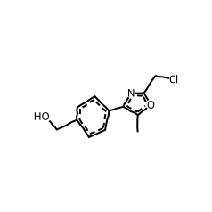 Cc1oc(CCl)nc1-c1ccc(CO)cc1